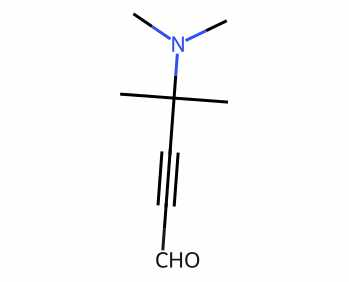 CN(C)C(C)(C)C#CC=O